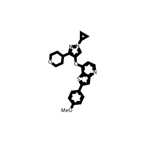 COc1ccc(-c2cc3nccc(Oc4cn(C5CC5)nc4C4CCOCC4)c3s2)cc1